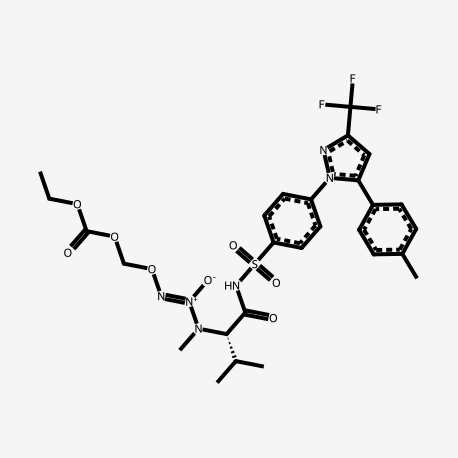 CCOC(=O)OCO/N=[N+](\[O-])N(C)[C@H](C(=O)NS(=O)(=O)c1ccc(-n2nc(C(F)(F)F)cc2-c2ccc(C)cc2)cc1)C(C)C